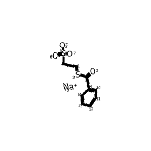 O=C(SCCS(=O)(=O)[O-])c1ccccc1.[Na+]